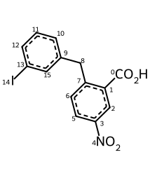 O=C(O)c1cc([N+](=O)[O-])ccc1Cc1cccc(I)c1